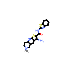 CN1CCc2nc3sc(C(=O)Nc4nc5ccccc5s4)c(N)c3cc2C1